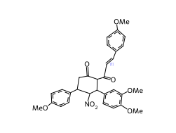 COc1ccc(/C=C/C(=O)C2C(=O)CC(c3ccc(OC)cc3)C([N+](=O)[O-])C2c2ccc(OC)c(OC)c2)cc1